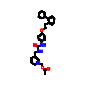 CC(=O)OC[n+]1cccc(CNC(=O)Nc2ccc(OCCc3ccccc3-c3ccccc3)cc2)c1